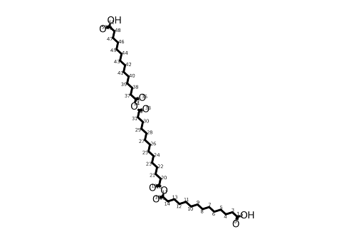 O=C(O)CCCCCCCCCCCCC(=O)OC(=O)CCCCCCCCCCCCC(=O)OC(=O)CCCCCCCCCCCCC(=O)O